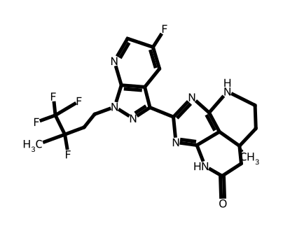 CC(F)(CCn1nc(-c2nc3c4c(n2)NC(=O)C[C@]4(C)CCN3)c2cc(F)cnc21)C(F)(F)F